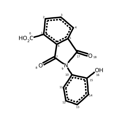 O=C(O)c1cccc2c1C(=O)N(c1ccccc1O)C2=O